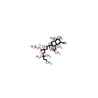 CCCC(C)(C)CC[C@@](C)(CCC(C)(C)[C@]1(C)CC[C@H]2C(C)(C)C(=O)C(C#N)=C[C@]2(C)[C@H]1CC(C)=O)C(=O)NOC